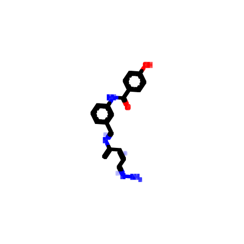 C=C(/C=C\C=N/N)/N=C/c1cccc(NC(=O)c2ccc(O)cc2)c1